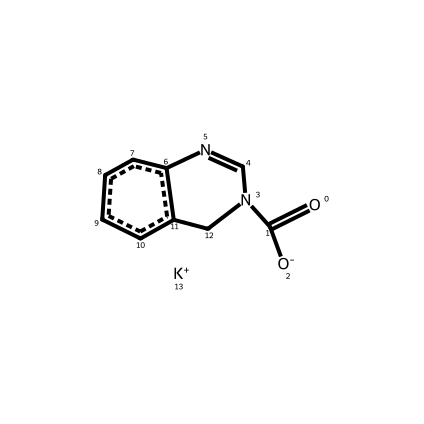 O=C([O-])N1C=Nc2ccccc2C1.[K+]